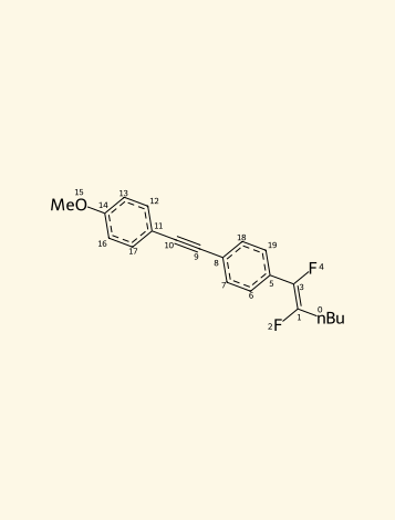 CCCCC(F)=C(F)c1ccc(C#Cc2ccc(OC)cc2)cc1